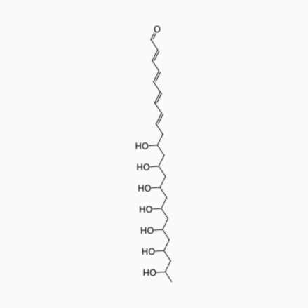 CC(O)CC(O)CC(O)CC(O)CC(O)CC(O)CC(O)CC=CC=CC=CC=CC=O